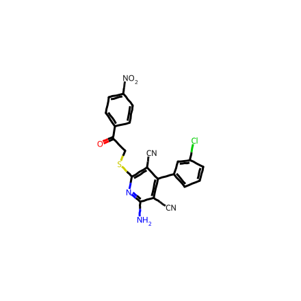 N#Cc1c(N)nc(SCC(=O)c2ccc([N+](=O)[O-])cc2)c(C#N)c1-c1cccc(Cl)c1